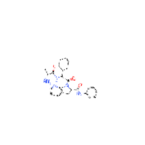 CC(N)C(=O)NC(C(=O)N1c2ncccc2C[C@H]1C(=O)Nc1ccccc1)C1CCCCC1